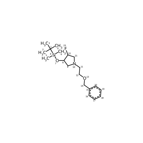 CC(C)(C)[Si](C)(C)OC1CN(CCOCc2ccccc2)CC1F